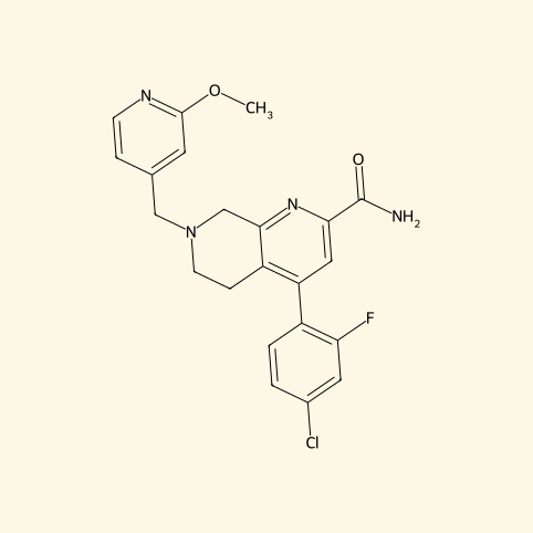 COc1cc(CN2CCc3c(-c4ccc(Cl)cc4F)cc(C(N)=O)nc3C2)ccn1